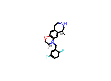 C[C@@H]1CNCCc2cc3c(cc21)N(CC1=CC(F)=CCC1F)[C@H](C)CO3